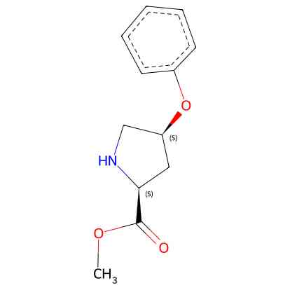 COC(=O)[C@@H]1C[C@H](Oc2ccccc2)CN1